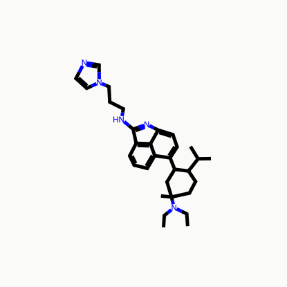 CCN(CC)C1(C)CCC(C(C)C)C(c2ccc3c4c(cccc24)C(NCCCn2ccnc2)=N3)C1